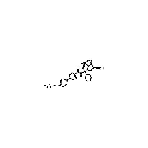 C#CC1CN(C(C=O)(NC(=O)c2ccc(N3CCN(CCOC)CC3)cc2)C2CCCCC2)C2C(=O)COC12